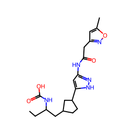 CCC(CC1CCC(c2cc(NC(=O)Cc3cc(C)on3)n[nH]2)C1)NC(=O)O